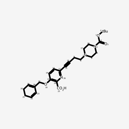 CC(C)(C)OC(=O)N1CCN(CCC#Cc2ccc(OCC3=CCCC=C3)c(C(=O)O)n2)CC1